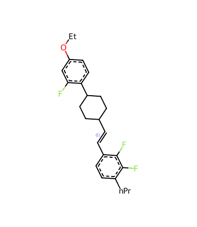 CCCc1ccc(/C=C/C2CCC(c3ccc(OCC)cc3F)CC2)c(F)c1F